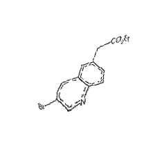 CCOC(=O)Cc1ccc2ncc(Br)cc2c1